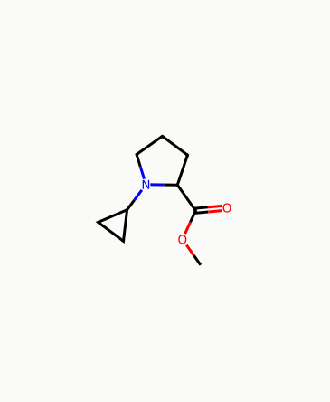 COC(=O)C1CCCN1C1CC1